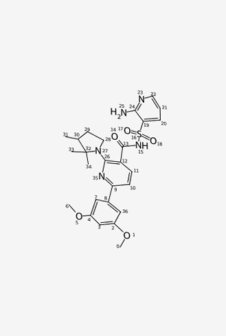 COc1cc(OC)cc(-c2ccc(C(=O)NS(=O)(=O)c3cccnc3N)c(N3CCC(C)C3(C)C)n2)c1